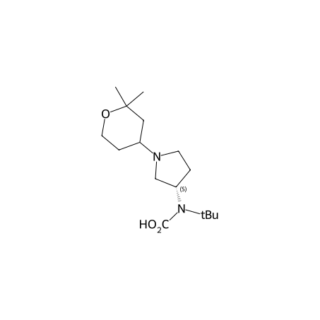 CC1(C)CC(N2CC[C@H](N(C(=O)O)C(C)(C)C)C2)CCO1